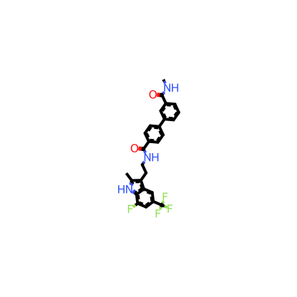 CNC(=O)c1cccc(-c2ccc(C(=O)NCCc3c(C)[nH]c4c(F)cc(C(F)(F)F)cc34)cc2)c1